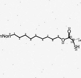 CCCCCCCCCCCCCCCCCCOC(=O)[C@H](C)S